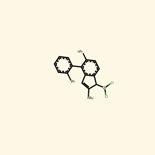 CCCCC1=Cc2c(ccc(CCC)c2-c2ccccc2C(C)C)[CH]1[Zr]([Cl])[Cl]